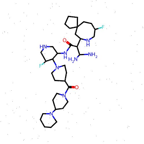 NC(N)C(C(=O)NC1CNCC(F)C1N1CCC(C(=O)N2CCC(N3CCCCC3)CC2)CC1)C1CC2(CCCC2)CCC(F)CN1